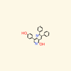 Oc1ccc(-c2cnc(O)c3cc(-c4ccccc4)c(-c4cc[c]cc4)nc23)cc1